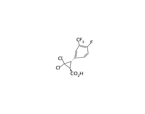 O=C(O)[C@@H]1[C@@H](c2ccc(F)c(C(F)(F)F)c2)C1(Cl)Cl